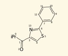 CC(C)C(=O)c1csc(-c2ccccc2)n1